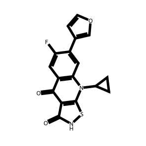 O=c1[nH]sc2c1c(=O)c1cc(F)c(-c3ccoc3)cc1n2C1CC1